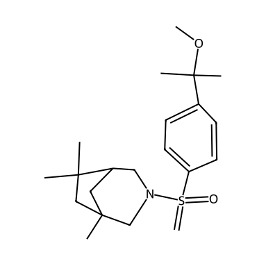 C=S(=O)(c1ccc(C(C)(C)OC)cc1)N1CC2CC(C)(C1)CC2(C)C